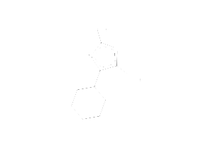 Cc1nc(C2CCCCC2)c(C)s1